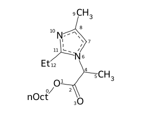 CCCCCCCCOC(=O)C(C)n1cc(C)nc1CC